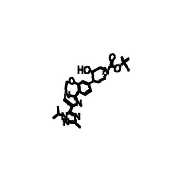 Cc1nc(-c2cn3c(n2)-c2ccc([C@@H]4CCN(C(=O)OC(C)(C)C)C[C@@H]4O)cc2OCC3)n(C(C)C)n1